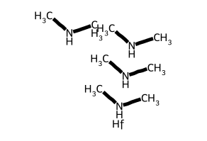 CNC.CNC.CNC.CNC.[Hf]